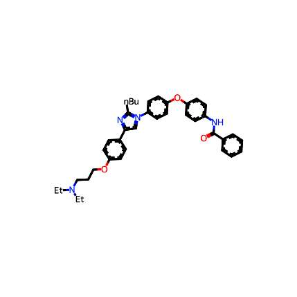 CCCCc1nc(-c2ccc(OCCCN(CC)CC)cc2)cn1-c1ccc(Oc2ccc(NC(=O)c3ccccc3)cc2)cc1